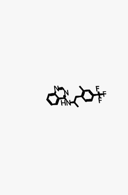 Cc1cc(C(F)(F)F)ccc1CC(C)Nc1ncnc2ccccc12